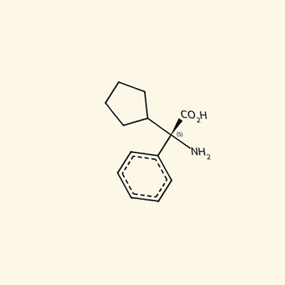 N[C@](C(=O)O)(c1ccccc1)C1CCCC1